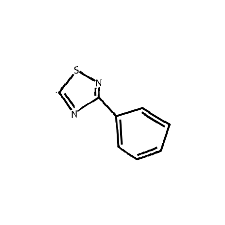 [c]1nc(-c2ccccc2)ns1